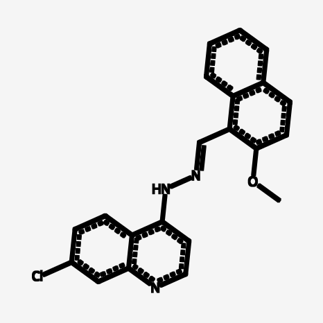 COc1ccc2ccccc2c1C=NNc1ccnc2cc(Cl)ccc12